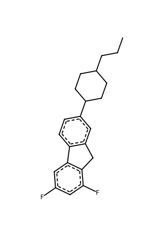 CCCC1CCC(c2ccc3c(c2)Cc2c(F)cc(F)cc2-3)CC1